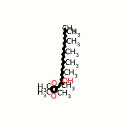 CC(C)=CCC/C(C)=C/CC/C(C)=C/CC/C(C)=C/CC/C(C)=C/CCC(C)(O)CCC1=C(C)C(=O)C(C)=C(C)C1=O